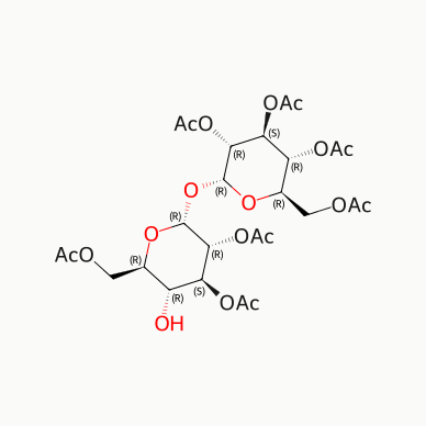 CC(=O)OC[C@H]1O[C@H](O[C@H]2O[C@H](COC(C)=O)[C@@H](OC(C)=O)[C@H](OC(C)=O)[C@H]2OC(C)=O)[C@H](OC(C)=O)[C@@H](OC(C)=O)[C@@H]1O